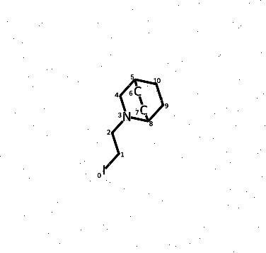 ICCN1CC2CCC1CC2